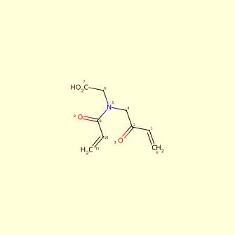 C=CC(=O)CN(CC(=O)O)C(=O)C=C